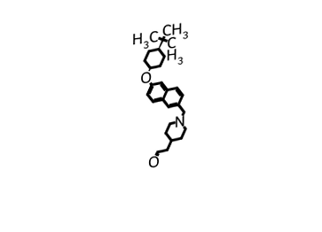 CC(C)(C)[C@H]1CC[C@H](Oc2ccc3cc(CN4CCC(CC=O)CC4)ccc3c2)CC1